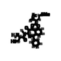 CSCC[C@@H](C(=O)ON1C(=O)C(N(C)C(=O)C(N)CS)N=C(c2ccccc2)c2ccccc21)N(C)C(C)=O